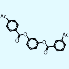 CC(=O)c1ccc(C(=O)Oc2cccc(OC(=O)c3cccc(C(C)=O)c3)c2)cc1